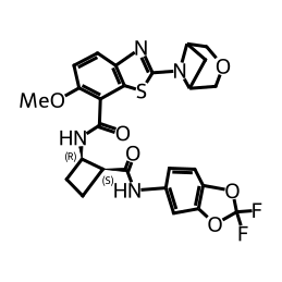 COc1ccc2nc(N3C4COCC3C4)sc2c1C(=O)N[C@@H]1CC[C@@H]1C(=O)Nc1ccc2c(c1)OC(F)(F)O2